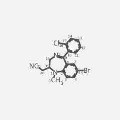 CN1c2ccc(Br)cc2C(c2ccccc2Cl)=NCC1CC#N